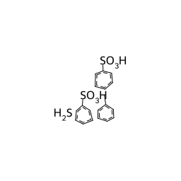 Cc1ccccc1.O=S(=O)(O)c1ccccc1.O=S(=O)(O)c1ccccc1.S